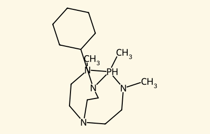 CN1CCN2CCN(C)[PH]1(C)N(C1CCCCC1)CC2